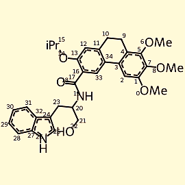 COc1cc2c(c(OC)c1OC)CCc1cc(OC(C)C)c(C(=O)NC(CO)Cc3c[nH]c4ccccc34)cc1-2